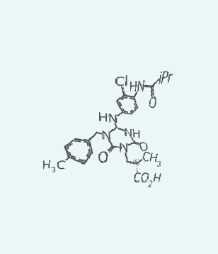 Cc1ccc(CN2C(=O)N(C[C@H](C)C(=O)O)C(=O)NC2Nc2ccc(NC(=O)C(C)C)c(Cl)c2)cc1